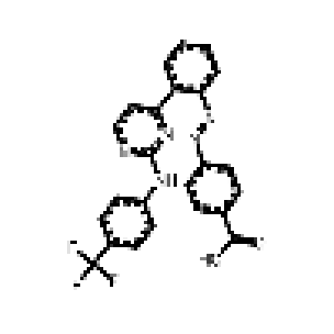 O=C(O)c1ccc(N=Nc2ccccc2-c2ccnc(Nc3ccc(C(F)(F)F)cc3)n2)cc1